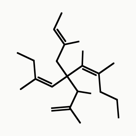 C=C(C)C(C)C(C=C(C)CC)(CC(C)=CC)C(C)=C(C)CCC